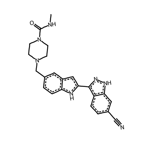 CNC(=O)N1CCN(Cc2ccc3[nH]c(-c4n[nH]c5cc(C#N)ccc45)cc3c2)CC1